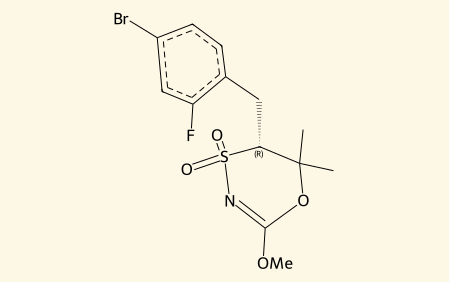 COC1=NS(=O)(=O)[C@H](Cc2ccc(Br)cc2F)C(C)(C)O1